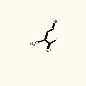 C/C(=C/C=N)C(=N)F